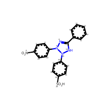 O=[N+]([O-])c1ccc(N2N=C(c3ccccc3)NN2c2ccc(S(=O)(=O)O)cc2)cc1